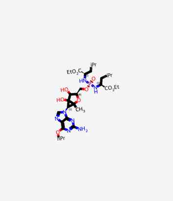 CCCOc1nc(N)nc2c1ncn2[C@@H]1C2(C)O[C@H](COP(=O)(N[C@@H](CC(C)C)C(=O)OCC)N[C@@H](CC(C)C)C(=O)OCC)C(O)C12O